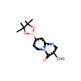 CC1(C)OB(c2ccn3c(=O)c(C=O)cnc3c2)OC1(C)C